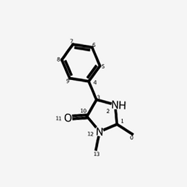 CC1NC(c2ccccc2)C(=O)N1C